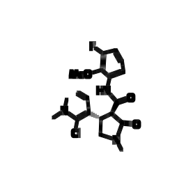 C=C/C(=C(/Cl)N(C)C)[C@H]1CN(C)C(=O)[C@@H]1C(=O)Nc1cccc(F)c1OC